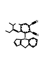 CC/C(=C/c1c(C)cc(C#N)c(C#N)c1N1C2=C(C=CC2)Cc2ccccc21)C(C)C